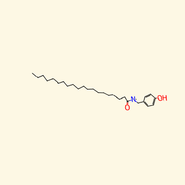 CCCCCCCCCCCCCCCCCCCC(=O)[N]Cc1ccc(O)cc1